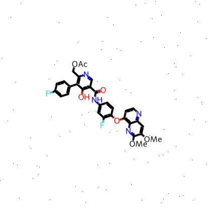 COc1cc2nccc(Oc3ccc(NC(=O)c4cnc(COC(C)=O)c(-c5ccc(F)cc5)c4O)cc3F)c2nc1OC